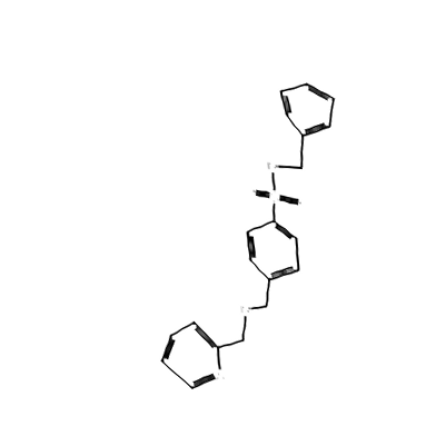 O=S(=O)(NCc1ccccc1)c1ccc(CNCc2ccccn2)cc1